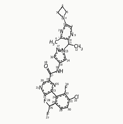 Cc1nc(N2CCC2)cnc1C(C)n1cc(NC(=O)c2cncc(-c3c(C(F)F)ccc(Cl)c3F)n2)cn1